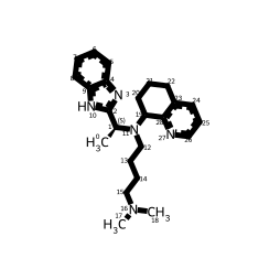 C[C@@H](c1nc2ccccc2[nH]1)N(CCCCN(C)C)C1CCCc2cccnc21